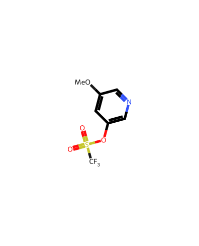 COc1cncc(OS(=O)(=O)C(F)(F)F)c1